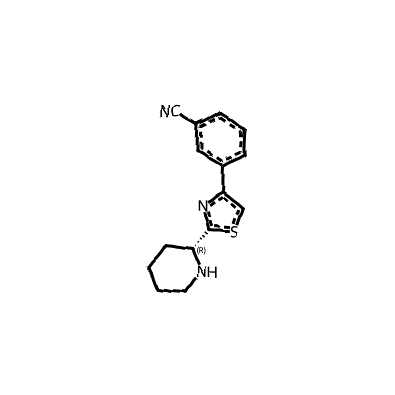 N#Cc1cccc(-c2csc([C@H]3CCCCN3)n2)c1